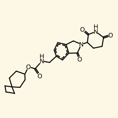 O=C1CCC(N2Cc3ccc(CNC(=O)OC4CCC5(CCC5)CC4)cc3C2=O)C(=O)N1